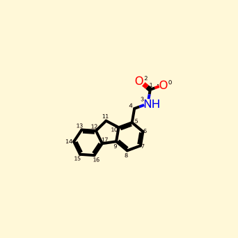 [O]C(=O)NCc1cccc2c1Cc1ccccc1-2